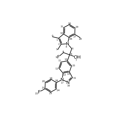 Cc1c(C)n(CC(O)(CF)c2ccc3c(cnn3-c3ccc(F)cc3)c2)c2c(C)cccc12